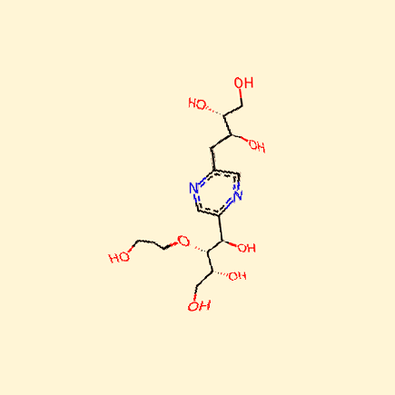 OCCO[C@@H]([C@H](O)CO)[C@H](O)c1cnc(C[C@H](O)[C@H](O)CO)cn1